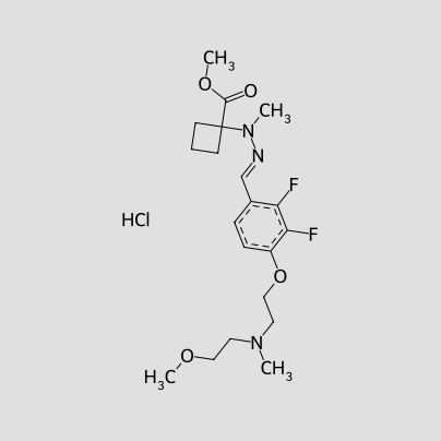 COCCN(C)CCOc1ccc(C=NN(C)C2(C(=O)OC)CCC2)c(F)c1F.Cl